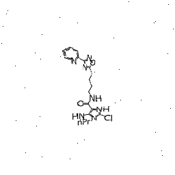 CCCNc1nc(Cl)[nH]c1C(=O)NCCCCc1nc(-c2ccccn2)no1